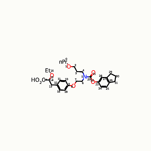 CCCOCCCN(CCOc1ccc(CC(OCC)C(=O)O)cc1)C(=O)Oc1ccc2c(c1)CCC2